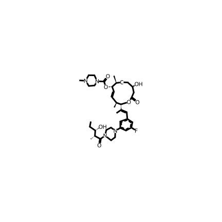 CC[C@H](O)[C@@H](C)C(=O)N1CCN(c2cc(F)cc(/C=C(\C)[C@H]3OC(=O)C[C@H](O)CC[C@H](C)[C@@H](OC(=O)N4CCN(C)CC4)/C=C/[C@@H]3C)c2)CC1